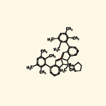 Cc1cc(C)c(C)c(-c2cccc3c2C=C[CH]3[Hf]([CH3])([CH3])(=[C]2CCCC2)[CH]2C=Cc3c(-c4c(C)c(C)cc(C)c4C)cccc32)c1C